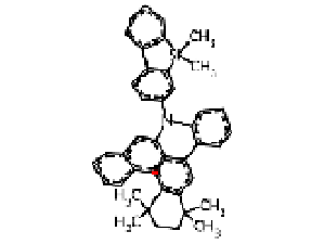 CC1(C)CCC(C)(C)c2cc(-c3ccccc3N(c3ccc4c(c3)[Si](C)(C)c3ccccc3-4)c3ccc4ccccc4c3)ccc21